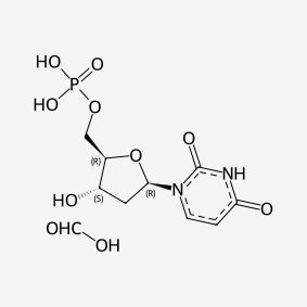 O=CO.O=c1ccn([C@H]2C[C@H](O)[C@@H](COP(=O)(O)O)O2)c(=O)[nH]1